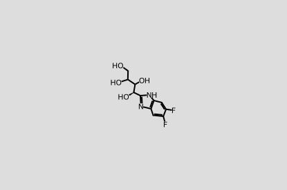 OCC(O)C(O)[C@H](O)c1nc2cc(F)c(F)cc2[nH]1